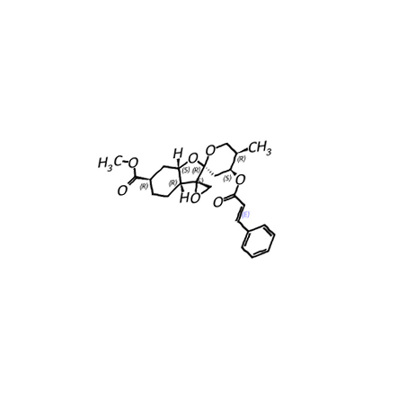 COC(=O)[C@@H]1CC[C@@H]2[C@H](C1)O[C@]1(C[C@H](OC(=O)/C=C/c3ccccc3)[C@H](C)CO1)[C@@]21CO1